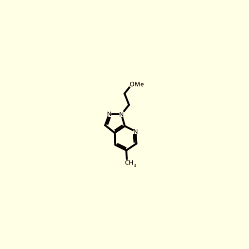 COCCn1ncc2cc(C)cnc21